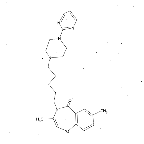 CC1=COc2ccc(C)cc2C(=O)N1CCCCCN1CCN(c2ncccn2)CC1